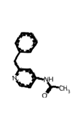 CC(=O)Nc1ccnc(Cc2ccccc2)c1